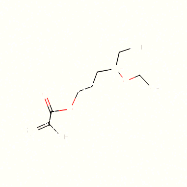 C=C(C)C(=O)OCCC[SiH](CC)OCC